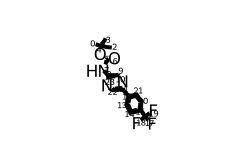 CC(C)(C)OC(=O)Nc1cnc(-c2ccc(C(F)(F)F)cc2)cn1